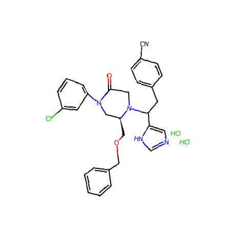 Cl.Cl.N#Cc1ccc(CC(c2cnc[nH]2)N2CC(=O)N(c3cccc(Cl)c3)C[C@@H]2COCc2ccccc2)cc1